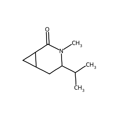 CC(C)C1CC2CC2C(=O)N1C